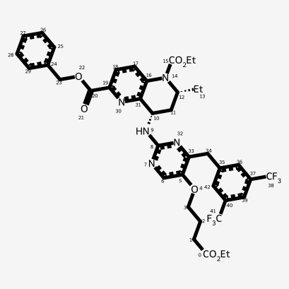 CCOC(=O)CCCOc1cnc(N[C@H]2C[C@@H](CC)N(C(=O)OCC)c3ccc(C(=O)OCc4ccccc4)nc32)nc1Cc1cc(C(F)(F)F)cc(C(F)(F)F)c1